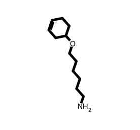 NCCCCCCOC1CC=CCC1